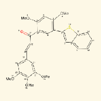 COc1cc(OC)c(-c2cc3ccccc3s2)cc1C(=O)C=Cc1cc(OC)c(OC)c(OC)c1